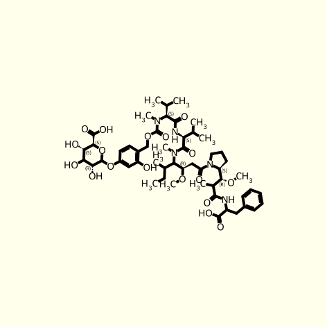 CCC(C)C([C@@H](CC(=O)N1CCC[C@H]1[C@H](OC)C(C)C(=O)NC(Cc1ccccc1)C(=O)O)OC)N(C)C(=O)[C@@H](NC(=O)[C@H](C(C)C)N(C)C(=O)OCc1ccc(OC2O[C@H](C(=O)O)[C@@H](O)C(O)[C@H]2O)cc1O)C(C)C